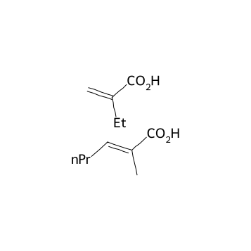 C=C(CC)C(=O)O.CCCC=C(C)C(=O)O